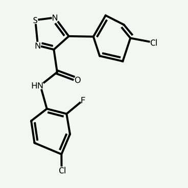 O=C(Nc1ccc(Cl)cc1F)c1nsnc1-c1ccc(Cl)cc1